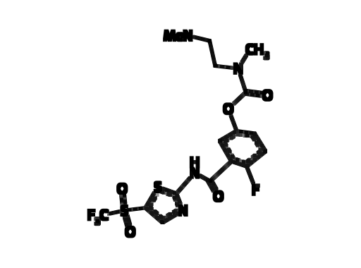 CNCCN(C)C(=O)Oc1ccc(F)c(C(=O)Nc2ncc(S(=O)(=O)C(F)(F)F)s2)c1